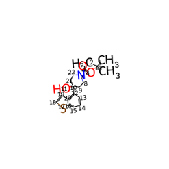 CC(C)(C)OC(=O)N1CCC(O)(c2cccc3sccc23)CC1